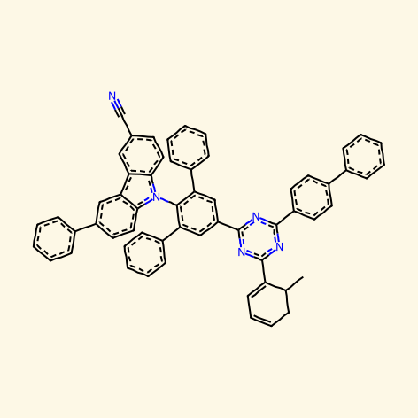 CC1CC=CC=C1c1nc(-c2ccc(-c3ccccc3)cc2)nc(-c2cc(-c3ccccc3)c(-n3c4ccc(C#N)cc4c4cc(-c5ccccc5)ccc43)c(-c3ccccc3)c2)n1